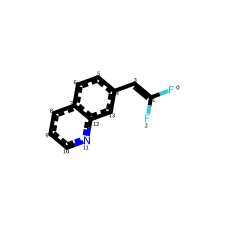 FC(F)=Cc1ccc2c[c]cnc2c1